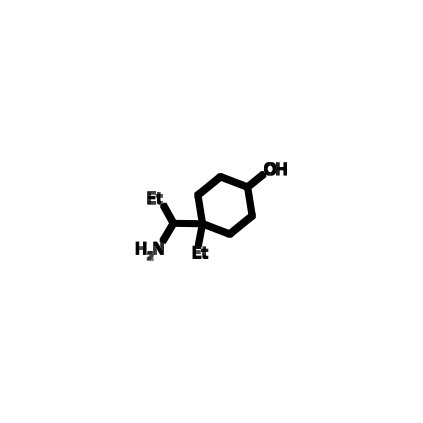 CCC(N)C1(CC)CCC(O)CC1